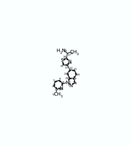 Cc1cccc(-n2ncc3ccc(-c4csc(C(C)N)n4)cc32)n1